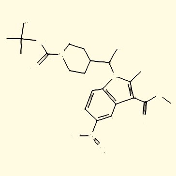 COC(=O)c1c(C)n(C(C)C2CCN(C(=O)OC(C)(C)C)CC2)c2ccc([N+](=O)[O-])cc12